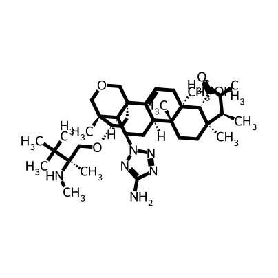 CN[C@](C)(CO[C@H]1[C@H](n2nnc(N)n2)C[C@@]23COC[C@]1(C)[C@@H]2CC[C@H]1C3=CC[C@@]2(C)[C@H](C(=O)O)[C@@](C)([C@H](C)C(C)C)CC[C@]12C)C(C)(C)C